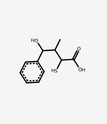 CC(C(S)C(=O)O)C(O)c1ccccc1